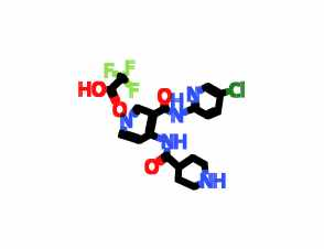 O=C(Nc1ccc(Cl)cn1)c1cnccc1NC(=O)C1CCNCC1.O=C(O)C(F)(F)F